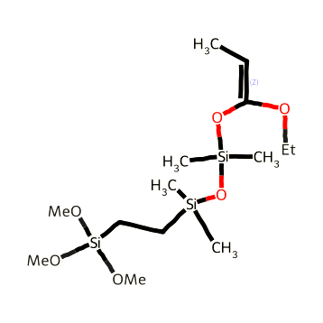 C/C=C(/OCC)O[Si](C)(C)O[Si](C)(C)CC[Si](OC)(OC)OC